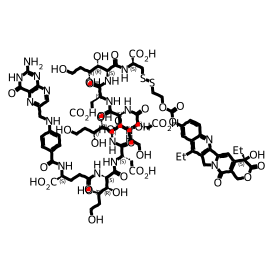 CCc1c2c(nc3ccc(OC(=O)OCCSSC[C@@H](NC(=O)[C@@H](NC(=O)[C@H](CC(=O)O)NC(=O)[C@@H](NC(=O)[C@H](CC(=O)O)NC(=O)[C@@H](NC(=O)[C@H](CC(=O)O)NC(=O)[C@@H](NC(=O)CC[C@H](NC(=O)c4ccc(NCc5cnc6nc(N)[nH]c(=O)c6n5)cc4)C(=O)O)[C@@H](O)[C@H](O)CCO)[C@@H](O)[C@H](O)CCO)[C@@H](O)[C@H](O)CCO)[C@@H](O)[C@H](O)CCO)C(=O)O)cc13)-c1cc3c(c(=O)n1C2)COC(=O)[C@]3(O)CC